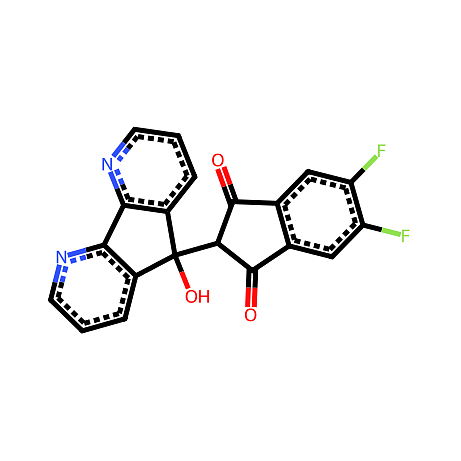 O=C1c2cc(F)c(F)cc2C(=O)C1C1(O)c2cccnc2-c2ncccc21